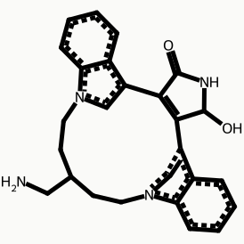 NCC1CCn2cc(c3ccccc32)C2=C(c3cn(c4ccccc34)CC1)C(O)NC2=O